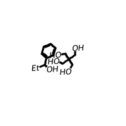 CCC(O)c1ccccc1.OCC(CO)(CO)CO